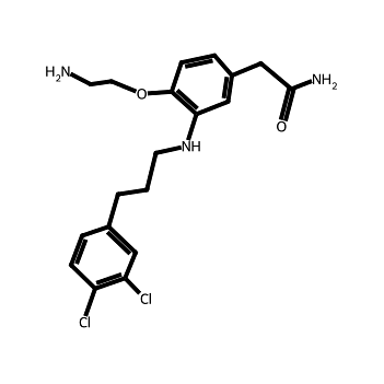 NCCOc1ccc(CC(N)=O)cc1NCCCc1ccc(Cl)c(Cl)c1